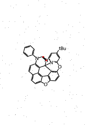 CC(C)(C)c1cc[n+]2c(c1)Oc1ccc3oc4ccc5ccc6c7c5c4c3c1C72[n+]1ccccc1N6c1ccccc1